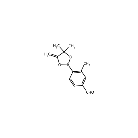 C=C1OB(c2ccc(C=O)cc2C)OC1(C)C